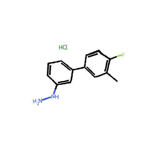 Cc1cc(-c2cccc(NN)c2)ccc1F.Cl